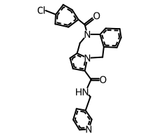 O=C(NCc1cccnc1)c1ccc2n1Cc1ccccc1N(C(=O)c1ccc(Cl)cc1)C2